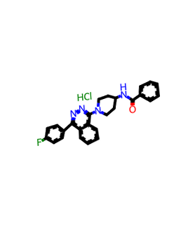 Cl.O=C(NC1CCN(c2nnc(-c3ccc(F)cc3)c3ccccc23)CC1)c1ccccc1